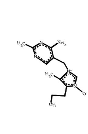 Cc1ncc(C[n+]2c[s+]([O-])c(CCO)c2C)c(N)n1